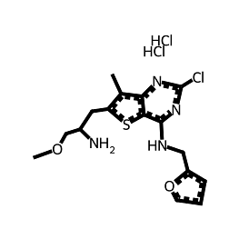 COCC(N)Cc1sc2c(NCc3ccco3)nc(Cl)nc2c1C.Cl.Cl